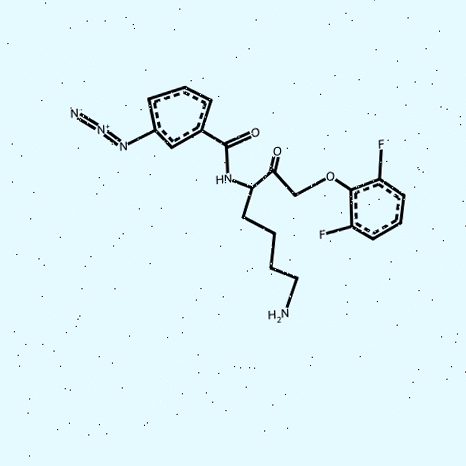 [N-]=[N+]=Nc1cccc(C(=O)NC(CCCCN)C(=O)COc2c(F)cccc2F)c1